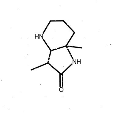 CC1C(=O)NC2(C)CCCNC12